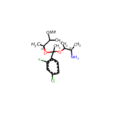 COC(C)[C@H](C)OC(C)(OC(C)[C@@H](C)N)c1ccc(Cl)cc1F